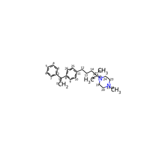 C=C(c1ccccc1)c1ccc(CCC[Si](C)(C)N2CCN(C)CC2)cc1